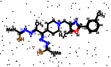 CN/C(S)=N/N=C(C)/C(=N/N=C(\S)NC)C1CCN(Cc2nc(-c3cccc(C)c3)oc2C)CC1